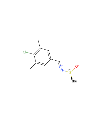 Cc1cc(/C=N/[S@@+]([O-])C(C)(C)C)cc(C)c1Cl